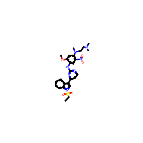 CCS(=O)(=O)n1cc(-c2ccnc(Nc3cc([N+](=O)[O-])c(N(C)CCN(C)C)cc3OC)n2)c2ccccc21